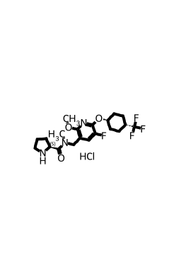 COc1nc(O[C@H]2CC[C@@H](C(F)(F)F)CC2)c(F)cc1CN(C)C(=O)[C@@H]1CCCN1.Cl